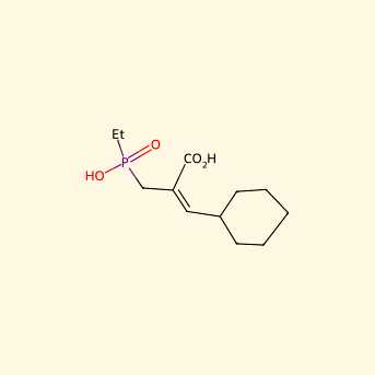 CCP(=O)(O)C/C(=C/C1CCCCC1)C(=O)O